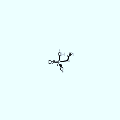 CCP(=O)(O)CC(C)C